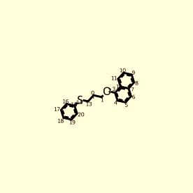 [CH](COc1cccc2ccccc12)CSc1ccccc1